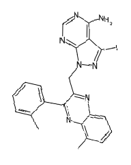 Cc1ccccc1-c1nc2c(C)cccc2nc1Cn1nc(I)c2c(N)ncnc21